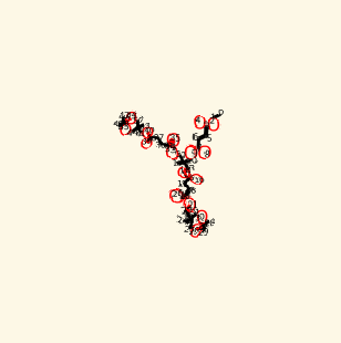 CCOC(=O)CCC(=O)OCC(C)(COC(=O)CCC(=O)OCC1(C)COC(C)(C)OC1)COC(=O)CCC(=O)OCC1(C)COC(C)(C)OC1